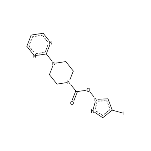 O=C(On1cc(I)cn1)N1CCN(c2ncccn2)CC1